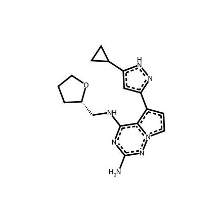 Nc1nc(NC[C@@H]2CCCO2)c2c(-c3cc(C4CC4)[nH]n3)ccn2n1